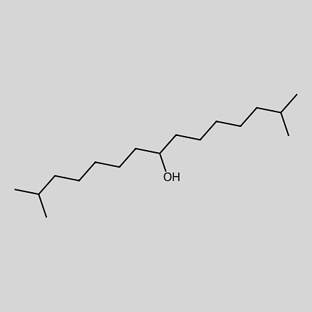 CC(C)CCCCCC(O)CCCCCC(C)C